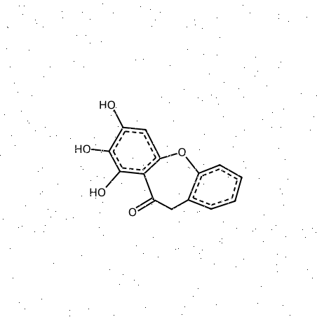 O=C1Cc2ccccc2Oc2cc(O)c(O)c(O)c21